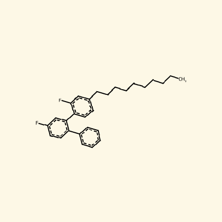 CCCCCCCCCCc1ccc(-c2cc(F)ccc2-c2ccccc2)c(F)c1